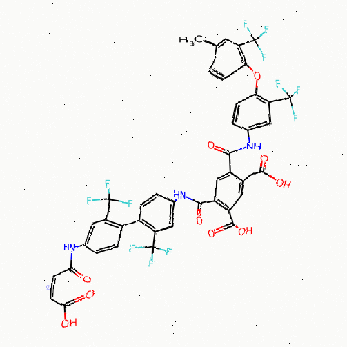 Cc1ccc(Oc2ccc(NC(=O)c3cc(C(=O)Nc4ccc(-c5ccc(NC(=O)/C=C\C(=O)O)cc5C(F)(F)F)c(C(F)(F)F)c4)c(C(=O)O)cc3C(=O)O)cc2C(F)(F)F)c(C(F)(F)F)c1